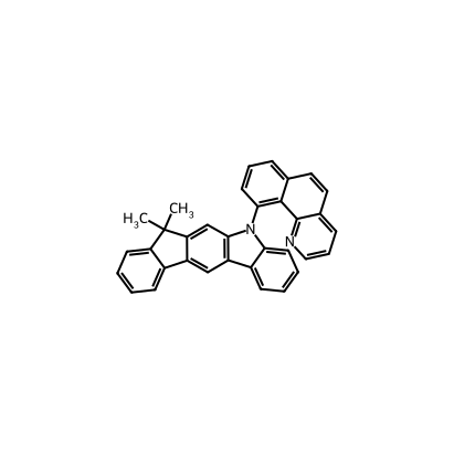 CC1(C)c2ccccc2-c2cc3c4ccccc4n(-c4cccc5ccc6cccnc6c45)c3cc21